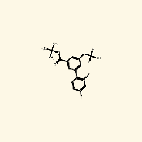 CC(C)(C)OC(=O)c1cc(CC(O)(F)F)cc(-c2ccc(F)cc2F)c1